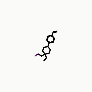 C=Cc1ccc(C2CCC(CC)(CCI)CC2)cc1